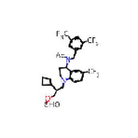 CC(=O)N(Cc1cc(C(F)(F)F)cc(C(F)(F)F)c1)C1CCN(CC(COC=O)C2CCC2)c2ccc(C(F)(F)F)cc21